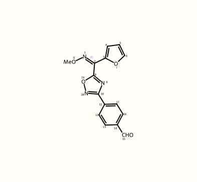 CO/N=C(/c1ccco1)c1nc(-c2ccc(C=O)cc2)no1